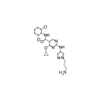 NCCCn1cc(Nc2ncc(C(=O)Nc3c(Cl)cccc3Cl)c(OC3CC3)n2)cn1